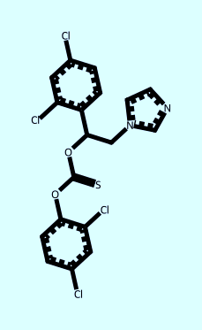 S=C(Oc1ccc(Cl)cc1Cl)OC(Cn1ccnc1)c1ccc(Cl)cc1Cl